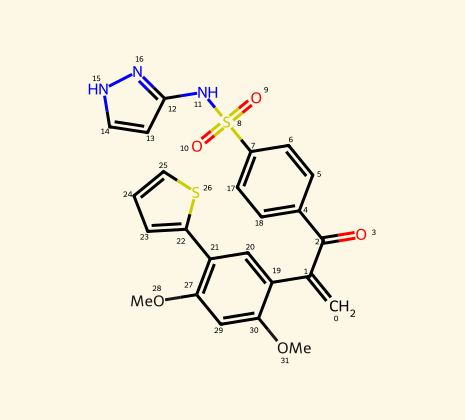 C=C(C(=O)c1ccc(S(=O)(=O)Nc2cc[nH]n2)cc1)c1cc(-c2cccs2)c(OC)cc1OC